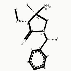 CC[C@H]1C(=O)N([C@H](C)c2ccccc2)C[C@]1(C)N